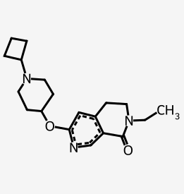 CCN1CCc2cc(OC3CCN(C4CCC4)CC3)ncc2C1=O